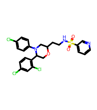 O=S(=O)(NCCC1CN(c2ccc(Cl)cc2)C(c2ccc(Cl)cc2Cl)CO1)c1cccnc1